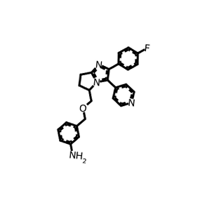 Nc1cccc(COCC2CCc3nc(-c4ccc(F)cc4)c(-c4ccncc4)n32)c1